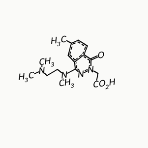 Cc1ccc2c(=O)n(CC(=O)O)nc(N(C)CCN(C)C)c2c1